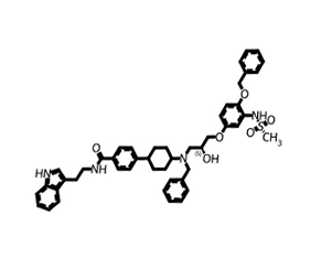 CS(=O)(=O)Nc1cc(OC[C@@H](O)CN(Cc2ccccc2)C2CCC(c3ccc(C(=O)NCCc4c[nH]c5ccccc45)cc3)CC2)ccc1OCc1ccccc1